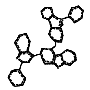 c1ccc(-c2cc(-c3cc(-c4ccc5c(c4)c4ccccc4n5-c4ccccc4)c4c(c3)oc3ccccc34)c3ccccc3n2)cc1